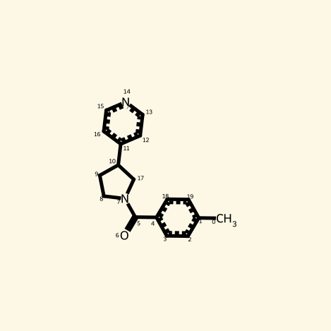 Cc1ccc(C(=O)N2CCC(c3ccncc3)C2)cc1